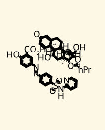 CCC[C@@H]1O[C@@H]2C[C@H]3[C@@H]4CCC5=CC(=O)C=C[C@]5(C)[C@H]4[C@@H](O)C[C@]3(C)[C@]2(C(=O)CO)O1.O=C(O)c1cc(N=Nc2ccc(S(=O)(=O)Nc3ccccn3)cc2)ccc1O